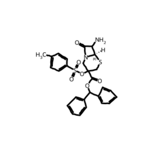 Cc1ccc(S(=O)(=O)OC2(C(=O)OC(c3ccccc3)c3ccccc3)CS[C@@H]3C(N)C(=O)N3C2)cc1